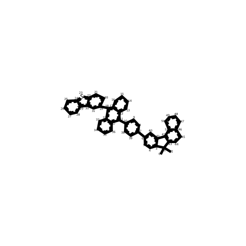 CC1(C)c2ccc(-c3ccc(-c4c5ccccc5c(-c5ccc6sc7ccccc7c6c5)c5ccccc45)cc3)cc2-c2c1ccc1ccccc21